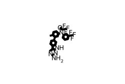 Cc1ccc(N(C(=O)C(F)(F)F)c2cccc(C(F)(F)F)c2)cc1-c1ccc2c(c1)[nH]c1nc(N)ncc12